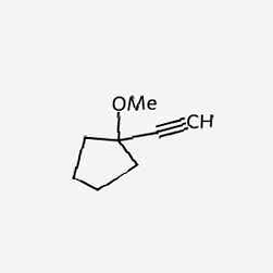 C#CC1(OC)CCCC1